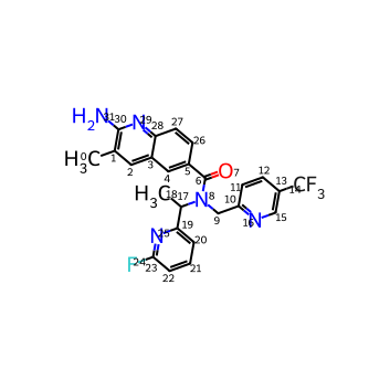 Cc1cc2cc(C(=O)N(Cc3ccc(C(F)(F)F)cn3)C(C)c3cccc(F)n3)ccc2nc1N